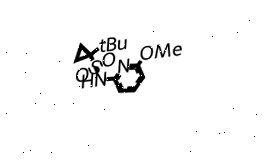 COc1cccc(NS(=O)(=O)C2(C(C)(C)C)CC2)n1